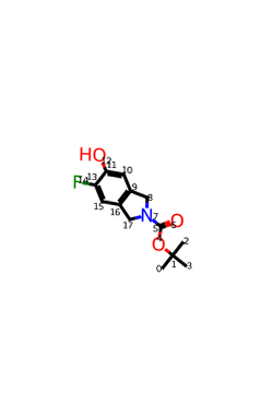 CC(C)(C)OC(=O)N1Cc2cc(O)c(F)cc2C1